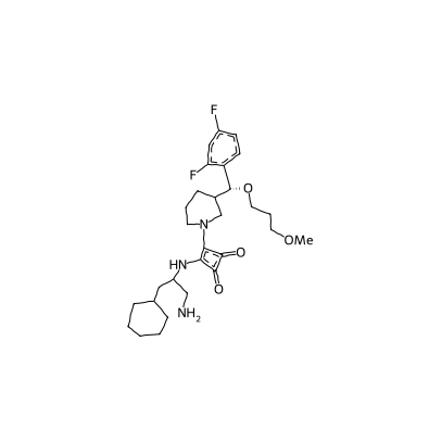 COCCCO[C@@H](c1ccc(F)cc1F)C1CCCN(c2c(NC(CN)CC3CCCCC3)c(=O)c2=O)C1